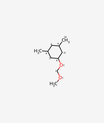 COCOC1CC(C)CC(C)C1